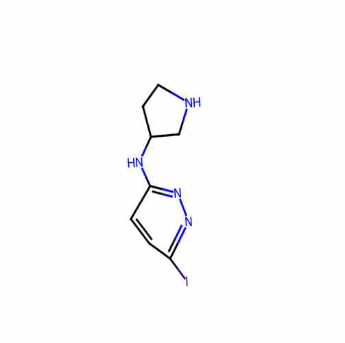 Ic1ccc(NC2CCNC2)nn1